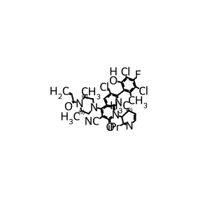 C=CC(=O)N1[C@H](C)CN(c2c(C#N)c(=O)n(C3C(C(C)C)=NC=C[C@H]3C)c3nc(-c4c(C)c(Cl)c(F)c(Cl)c4O)c(Cl)cc23)C[C@@H]1C